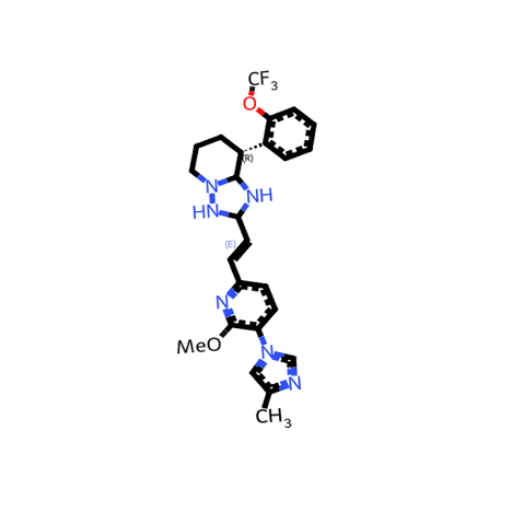 COc1nc(/C=C/C2NC3[C@@H](c4ccccc4OC(F)(F)F)CCCN3N2)ccc1-n1cnc(C)c1